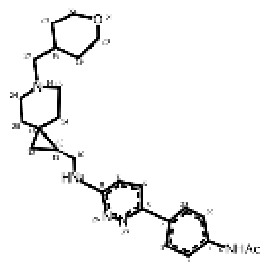 CC(=O)Nc1ccc(-c2ccc(NC[C@H]3CC34CCN(CC3CCOCC3)CC4)nn2)cc1